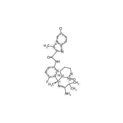 Cc1c(C(=O)Nc2ccc(F)c([C@@]3(C)N=C(N)C(C)(C)[S@@]4(=O)=NCCC[C@H]34)n2)nc2ccc(Cl)cn12